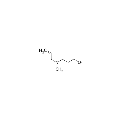 C=CCN(C)CCC[O]